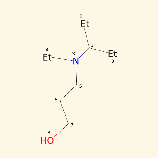 CCC(CC)N(CC)CCCO